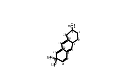 CCC1CCC2C=C3C=CC(F)(F)C=C3C=C2C1